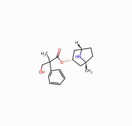 CC(CO)(C(=O)O[C@@H]1C[C@@H]2CC[C@](C)(C1)N2)c1ccccc1